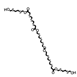 O=C(CSCSCSCCOOCSCSCSCOC(=O)CSCSCSCC(=O)OCSCCSCO)OCSCCSCO